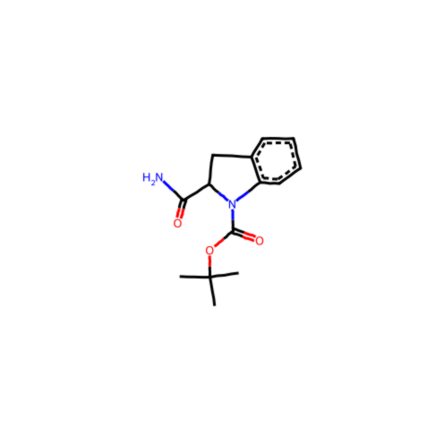 CC(C)(C)OC(=O)N1c2ccccc2CC1C(N)=O